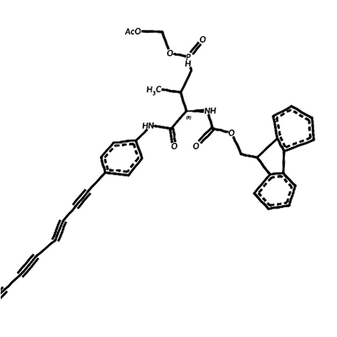 C#CC#CC#CC#Cc1ccc(NC(=O)[C@H](NC(=O)OCC2c3ccccc3-c3ccccc32)C(C)C[PH](=O)OCOC(C)=O)cc1